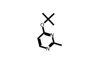 Cc1nccc(OC(C)(C)C)n1